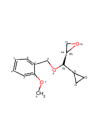 COc1ccccc1COC(C1CC1)[C@H]1CO1